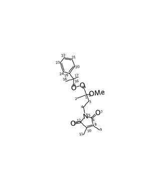 COC(C)(CCN1C(=O)C(C)=C(C)C1=O)OOC(C)(C)c1ccccc1